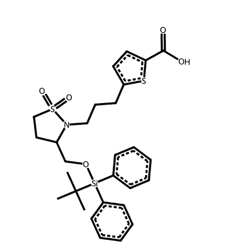 CC(C)(C)[Si](OCC1CCS(=O)(=O)N1CCCc1ccc(C(=O)O)s1)(c1ccccc1)c1ccccc1